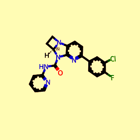 O=C(Nc1ccccn1)N1c2nc(-c3ccc(F)c(Cl)c3)ccc2N2CC[C@@H]21